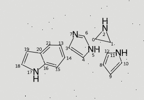 C1CN1.c1c[nH]cn1.c1cc[nH]c1.c1ccc2[nH]ccc2c1